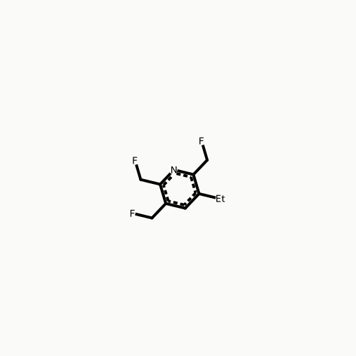 CCc1cc(CF)c(CF)nc1CF